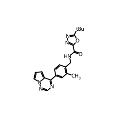 Cc1cc(-c2ncnn3cccc23)ccc1CNC(=O)c1nnc(C(C)(C)C)o1